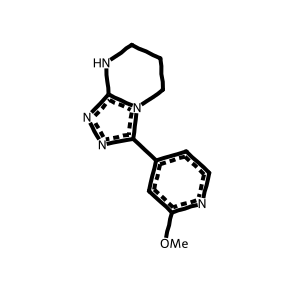 COc1cc(-c2nnc3n2CCCN3)ccn1